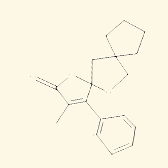 CC1=C(c2ccccc2)C2(CC3(CCCC3)CO2)OC1=O